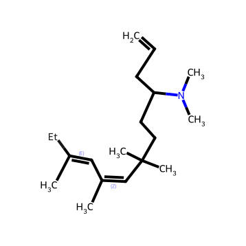 C=CCC(CCC(C)(C)/C=C(C)\C=C(/C)CC)N(C)C